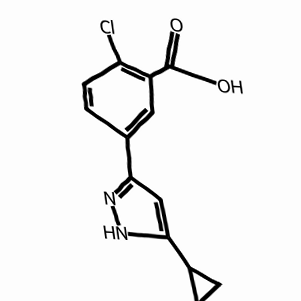 O=C(O)c1cc(-c2cc(C3CC3)[nH]n2)ccc1Cl